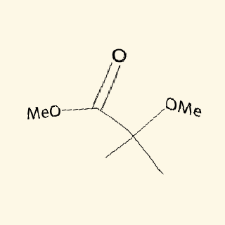 [CH2]OC(=O)C(C)(C)OC